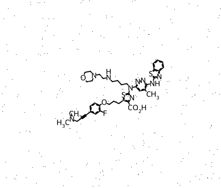 Cc1cc(N(CCCCNCCN2CCOCC2)c2nc(C(=O)O)c(CCCOc3ccc(C#CCN(C)C)cc3F)s2)nnc1Nc1nc2ccccc2s1